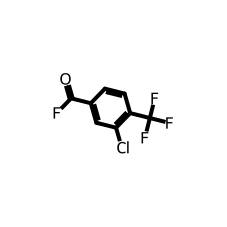 O=C(F)c1ccc(C(F)(F)F)c(Cl)c1